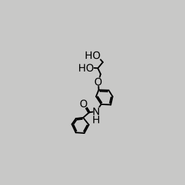 O=C(Nc1cccc(OCC(O)CO)c1)C1=C=C=CC=C1